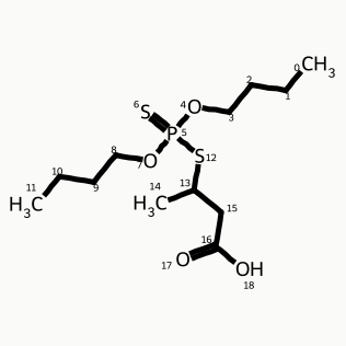 CCCCOP(=S)(OCCCC)SC(C)CC(=O)O